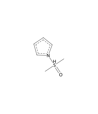 C[SH](C)(=O)n1cccc1